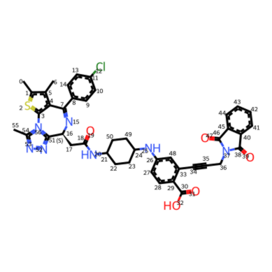 Cc1sc2c(c1C)C(c1ccc(Cl)cc1)=N[C@@H](CC(=O)NC1CCC(Nc3ccc(C(=O)O)c(C#CCN4C(=O)c5ccccc5C4=O)c3)CC1)c1nnc(C)n1-2